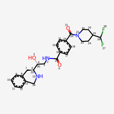 O=C(NC[C@@H](O)[C@@H]1Cc2ccccc2CN1)c1ccc(C(=O)N2CCC(C(F)F)CC2)cc1